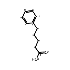 O=C(O)CCCCc1[c]cccc1